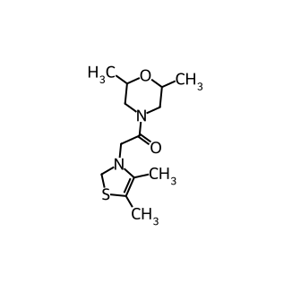 CC1=C(C)N(CC(=O)N2CC(C)OC(C)C2)CS1